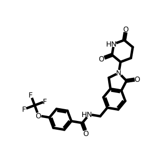 O=C1CCC(N2Cc3cc(CNC(=O)c4ccc(OC(F)(F)F)cc4)ccc3C2=O)C(=O)N1